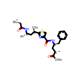 CC[C@H](C)CC(=O)N[C@H](C[C@@H](OC(C)=O)c1nc(C(=O)N[C@@H](Cc2ccccc2)C[C@H](C)C(=O)OC)cs1)C(C)C